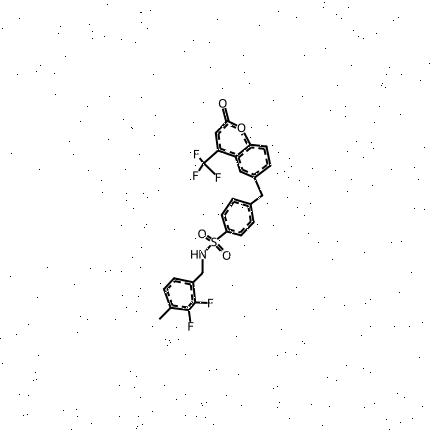 Cc1ccc(CNS(=O)(=O)c2ccc(Cc3ccc4oc(=O)cc(C(F)(F)F)c4c3)cc2)c(F)c1F